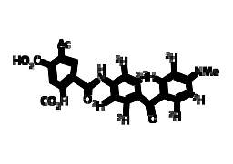 [2H]c1c([2H])c(C(=O)c2c([2H])c([2H])c(NC(=O)c3cc(C(C)=O)c(C(=O)O)cc3C(=O)O)c([2H])c2[2H])c([2H])c([2H])c1NC